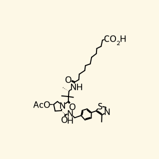 CC(=O)O[C@@H]1C[C@@H](C(=O)NCc2ccc(-c3scnc3C)cc2)N(C(=O)C(C)(C)[C@H](C)NC(=O)CCCCCCCCCCC(=O)O)C1